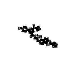 CCN1CCN(c2cc(C(=O)NC[C@H](O)CN3CCc4c(ccc(OCc5cnco5)c4Cl)C3)cc(NC3COC3)n2)CC1